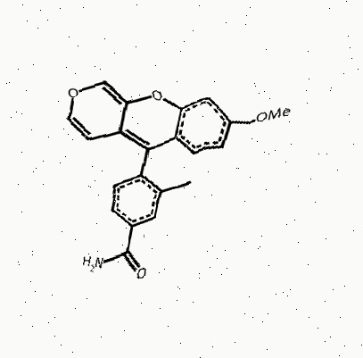 COc1ccc2c(c1)OC1=COC=CC1=C2c1ccc(C(N)=O)cc1C